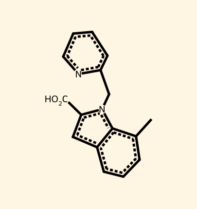 Cc1cccc2cc(C(=O)O)n(Cc3ccccn3)c12